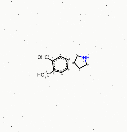 C1CCNC1.O=Cc1ccccc1C(=O)O